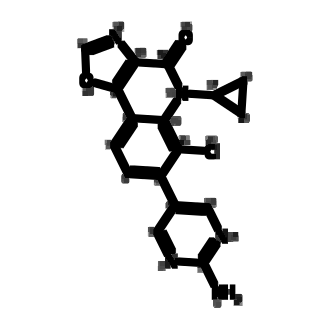 Nc1ncc(-c2ccc3c4ocnc4c(=O)n(C4CC4)c3c2Cl)cn1